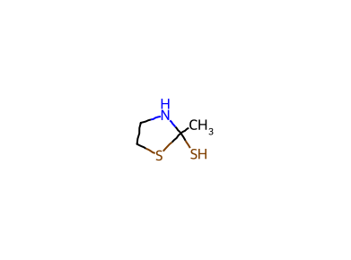 CC1(S)NCCS1